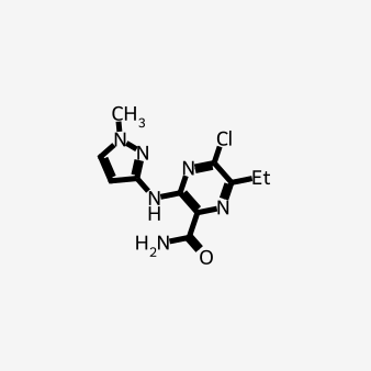 CCc1nc(C(N)=O)c(Nc2ccn(C)n2)nc1Cl